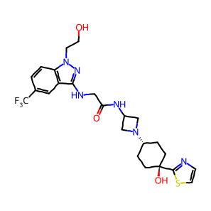 O=C(CNc1nn(CCO)c2ccc(C(F)(F)F)cc12)NC1CN([C@H]2CC[C@@](O)(c3nccs3)CC2)C1